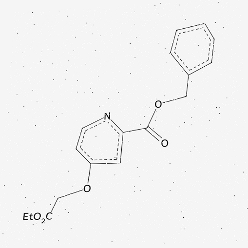 CCOC(=O)COc1ccnc(C(=O)OCc2ccccc2)c1